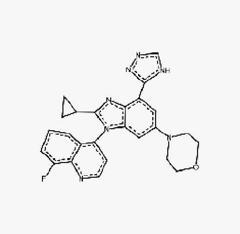 Fc1cccc2c(-n3c(C4CC4)nc4c(-c5nnc[nH]5)cc(N5CCOCC5)cc43)ccnc12